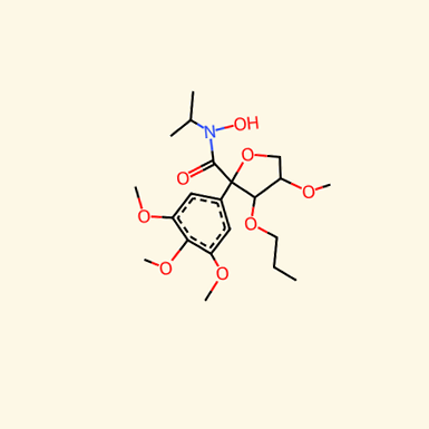 CCCOC1C(OC)COC1(C(=O)N(O)C(C)C)c1cc(OC)c(OC)c(OC)c1